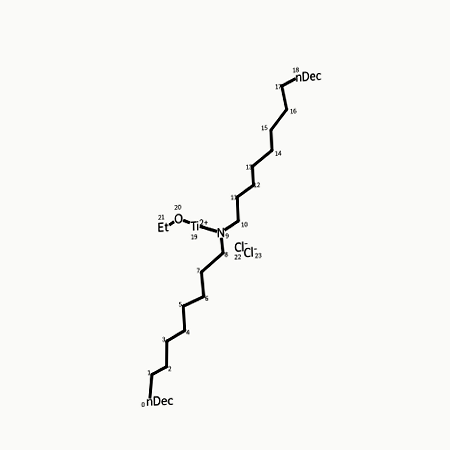 CCCCCCCCCCCCCCCCCC[N](CCCCCCCCCCCCCCCCCC)[Ti+2][O]CC.[Cl-].[Cl-]